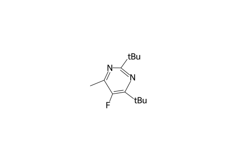 Cc1nc(C(C)(C)C)nc(C(C)(C)C)c1F